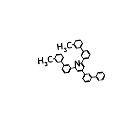 Cc1cccc(-c2cccc(-c3cc(-c4cccc(-c5ccccc5)c4)cc(-c4cccc(-c5cccc(C)c5)c4)n3)c2)c1